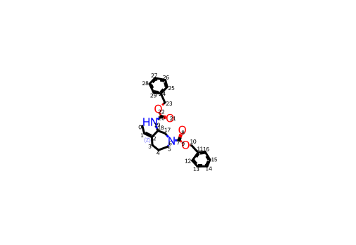 C/C=C1/CCCN(C(=O)OCc2ccccc2)CC1NC(=O)OCc1ccccc1